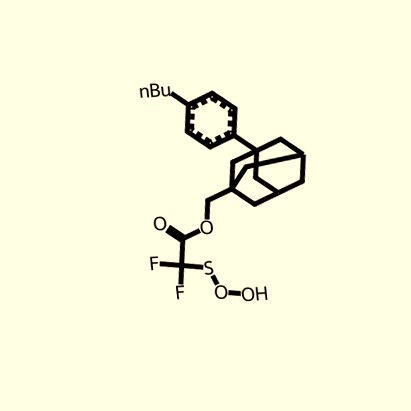 CCCCc1ccc(C23CC4CC(CC(COC(=O)C(F)(F)SOO)(C4)C2)C3)cc1